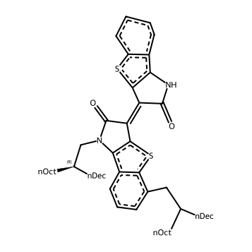 CCCCCCCCCCC(CCCCCCCC)Cc1cccc2c3c(sc12)C(=C1C(=O)Nc2c1sc1ccccc21)C(=O)N3C[C@H](CCCCCCCC)CCCCCCCCCC